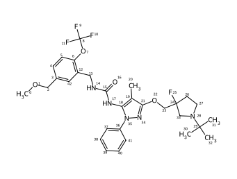 COCc1ccc(OC(F)(F)F)c(CNC(=O)Nc2c(C)c(OCC3(F)CCN(C(C)(C)C)C3)nn2-c2ccccc2)c1